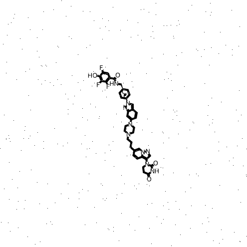 O=C1CCN(c2cnn3cc(CCCN4CCN(c5ccc6cn([C@]78CC[C@](CNC(=O)c9cc(F)c(O)c(F)c9F)(CC7)CC8)nc6c5)CC4)ccc23)C(=O)N1